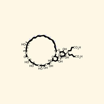 C[C@@H]1[C@H](O)[C@@H](C)/C=C/C=C/C=C/C=C/C=C/C=C/C=C/[C@H](O[C@@H]2O[C@H](C)[C@@H](O)[C@H](N(CCCC(=O)O)CCCC(=O)O)[C@@H]2O)CC2O[C@](O)(C[C@@H](O)C[C@@H](O)[C@H](O)CC[C@@H](O)C[C@@H](O)CC(=O)O[C@H]1C)C[C@H](O)[C@H]2C(=O)O